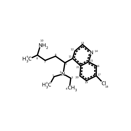 CCN(CC)C(CCC(C)N)c1ccnc2cc(Cl)ccc12